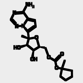 CC1(OC(=O)OC[C@H]2O[C@@](C)(c3ccc4c(N)ncnn34)[C@H](O)[C@@H]2O)CCCC1